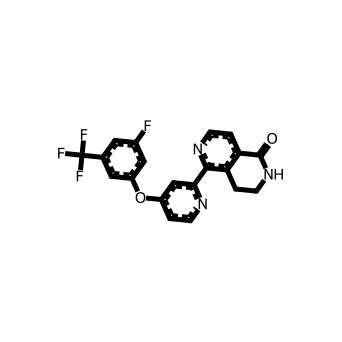 O=C1NCCc2c1ccnc2-c1cc(Oc2cc(F)cc(C(F)(F)F)c2)ccn1